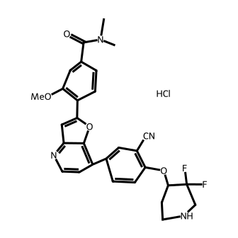 COc1cc(C(=O)N(C)C)ccc1-c1cc2nccc(-c3ccc(OC4CCNCC4(F)F)c(C#N)c3)c2o1.Cl